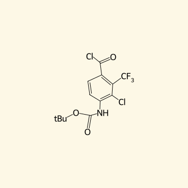 CC(C)(C)OC(=O)Nc1ccc(C(=O)Cl)c(C(F)(F)F)c1Cl